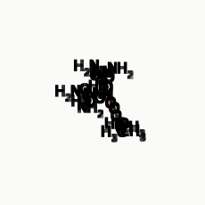 CC(C)(C)OC(=O)NCCCOCCOCCOCCCN(CCC(=O)NCCN(CCC(=O)NCCN)CCC(=O)NCCN)CCC(=O)NCCN(CCC(=O)NCCN)CCC(=O)NCCN